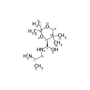 C[C@H](N)CNC(O)[C@H]1OC(C)(C)OCC1(C)C